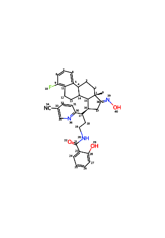 C[C@]12CCC3c4cccc(F)c4CCC3C1[C@H](C(CCNC(=O)c1ccccc1O)c1ccc(C#N)cn1)C/C2=N\O